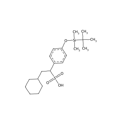 CC(C)(C)[Si](C)(C)Oc1ccc(C(CC2CCCCC2)S(=O)(=O)O)cc1